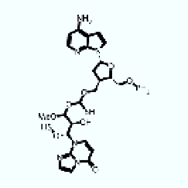 COC(OC(S)OC[C@H]1C[C@H](n2ccc3c(N)ccnc32)O[C@@H]1COP)[C@@H](O)[C@@H](OS)n1ccc(=O)n2ccnc12